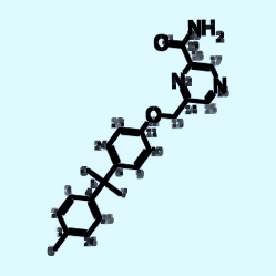 Cc1ccc(C(C)(C)c2ccc(OCc3cncc(C(N)=O)n3)cc2)cc1